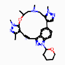 Cc1nn(C)c2c1/C=C\c1nn(C3CCCCO3)c3ccc(cc13)-c1cnn(C)c1CN(C)CC(C)O2